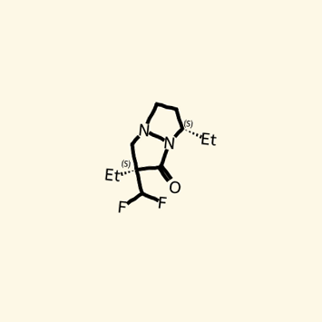 CC[C@H]1CCN2C[C@](CC)(C(F)F)C(=O)N12